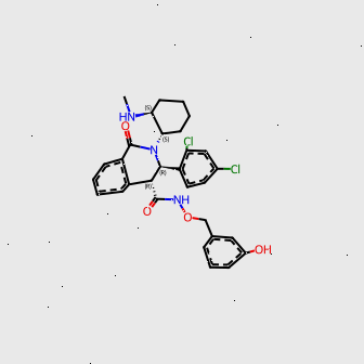 CN[C@H]1CCCC[C@@H]1N1C(=O)c2ccccc2[C@@H](C(=O)NOCc2cccc(O)c2)[C@@H]1c1ccc(Cl)cc1Cl